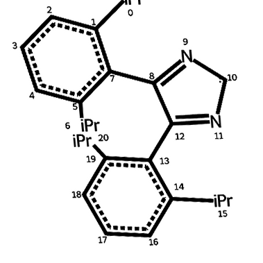 CC(C)c1cccc(C(C)C)c1C1=N[C]N=C1c1c(C(C)C)cccc1C(C)C